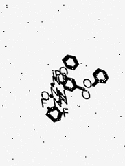 CC(C)N(Cn1nnn(-c2c(F)cccc2F)c1=O)c1ccc(C(=O)OCc2ccccc2)cc1Oc1ccccc1